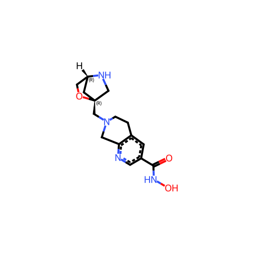 O=C(NO)c1cnc2c(c1)CCN(C[C@@]13CN[C@@H](CO1)C3)C2